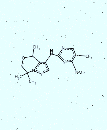 CNc1nc(Nc2cnn3c2C(C)OCC3(C)C)ncc1C(F)(F)F